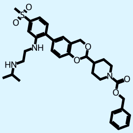 CC(C)NCCNc1cc(S(C)(=O)=O)ccc1-c1ccc2c(c1)COC(C1CCN(C(=O)OCc3ccccc3)CC1)O2